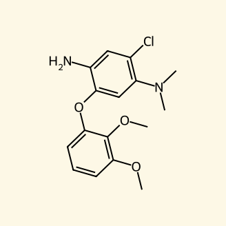 COc1cccc(Oc2cc(N(C)C)c(Cl)cc2N)c1OC